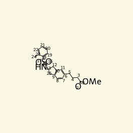 COC(=O)CCCc1ccc2c(c1)CC(NS(=O)(=O)c1ccccc1C)C2